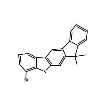 CC1(C)c2ccccc2-c2cc3c(cc21)sc1c(Br)cccc13